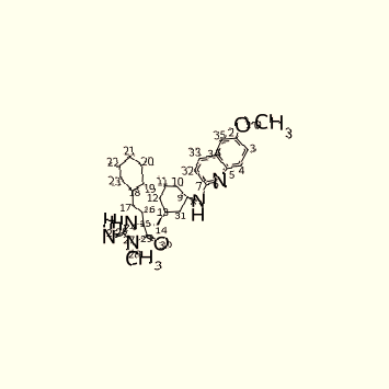 COc1ccc2nc(N[C@@H]3CCC[C@H](C[C@@]4(CCC5CCCCC5)NC(=N)N(C)C4=O)C3)ccc2c1